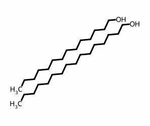 CCCCCCCCCCCCCCCCO.CCCCCCCCCCCCCCO